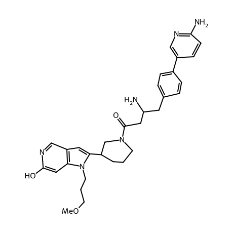 COCCCn1c(C2CCCN(C(=O)CC(N)Cc3ccc(-c4ccc(N)nc4)cc3)C2)cc2cnc(O)cc21